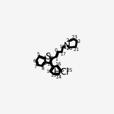 C(=Cc1sc2ccccc2c1-c1ccccc1)CCN1CCCCC1.Cl